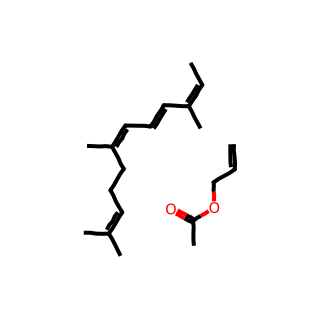 C=CCOC(C)=O.CC=C(C)C=CC=C(C)CCC=C(C)C